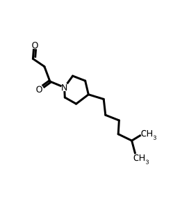 CC(C)CCCCC1CCN(C(=O)CC=O)CC1